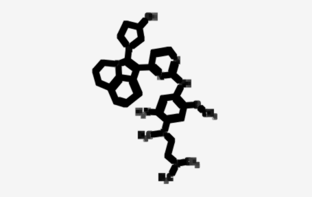 COc1cc(N(C)CCN(C)C)c(N)cc1Nc1nccc(-c2c(N3CCC(O)C3)n3c4c(cccc24)CCC3)n1